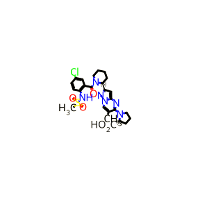 Cc1cn2nc([C@@H]3CCCCN3C(=O)c3cc(Cl)ccc3NS(C)(=O)=O)cc2nc1N1CCC[C@@H]1C(=O)O